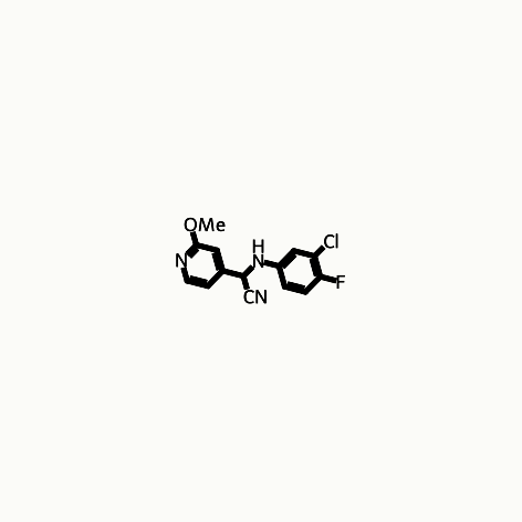 COc1cc(C(C#N)Nc2ccc(F)c(Cl)c2)ccn1